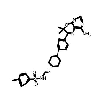 Cc1ccc(S(=O)(=O)NCC[C@H]2CC[C@H](c3ccc(C4=Nc5c(N)ncnc5OC4(C)C)cc3)CC2)cc1